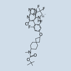 C[C@H](Nc1c(-c2c(F)cc(OC3CC4(CCC(N(C)C(=O)OC(C)(C)C)CC4)C3)cc2F)c(Cl)nc2ncnn12)C(F)(F)F